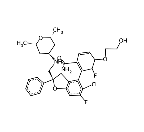 C[C@@H]1C[C@@H](NC[C@@]2(c3ccccc3)Cc3c(cc(F)c(Cl)c3C3=C(C(N)=O)C=CC(OCCO)C3F)O2)C[C@H](C)O1